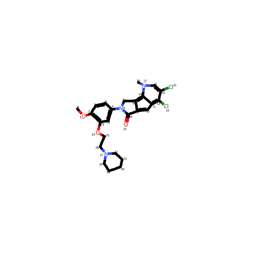 COc1ccc(N2Cc3c(cc4c(Cl)c(Cl)cn(C)c3-4)C2=O)cc1OCCN1CCCCC1